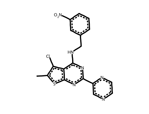 Cc1sc2nc(-c3cnccn3)nc(NCc3cccc([N+](=O)[O-])c3)c2c1Cl